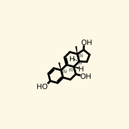 C[C@]12C=CC(O)C=C1CC(O)[C@@H]1C2=CC[C@]2(C)C(O)CC[C@@H]12